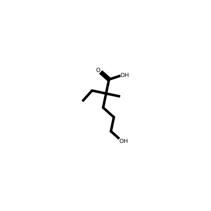 CCC(C)(CCCO)C(=O)O